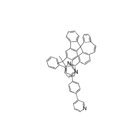 CC1(C)c2ccccc2-c2cc3c(cc21)-c1ccccc1C31c2ccccc2C=Cc2ccc(-c3nc(-c4ccccc4)cc(-c4ccc(-c5cccnc5)cc4)n3)cc21